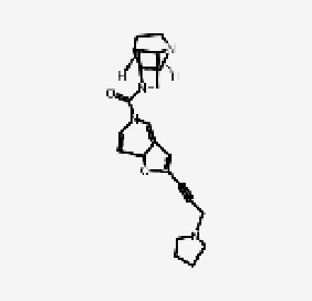 C[C@H]1[C@H](NC(=O)N2C=CC3OC(C#CCN4CCCC4)=CC3=C2)C2CCN1CC2